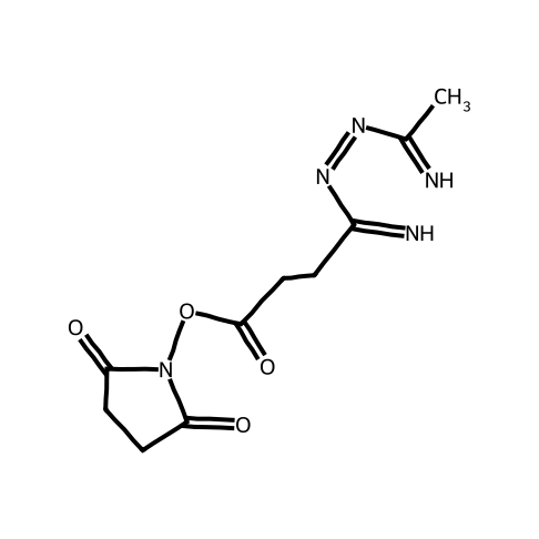 CC(=N)/N=N\C(=N)CCC(=O)ON1C(=O)CCC1=O